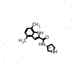 Cc1ccc(C)c2[nH]c(C(=O)N[C@@H]3CCNC3)cc12